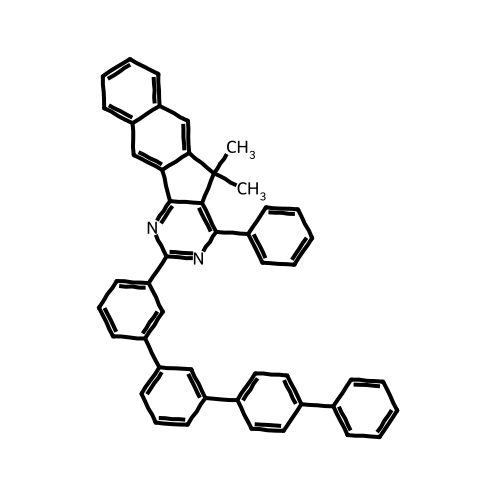 CC1(C)c2cc3ccccc3cc2-c2nc(-c3cccc(-c4cccc(-c5ccc(-c6ccccc6)cc5)c4)c3)nc(-c3ccccc3)c21